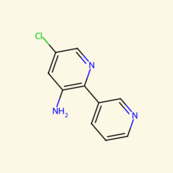 Nc1cc(Cl)cnc1-c1cccnc1